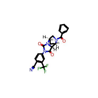 N#Cc1ccc(N2C(=O)[C@@H]3[C@H]4C[C@H](CN4C(=O)c4ccccc4)N3C2=O)cc1C(F)(F)F